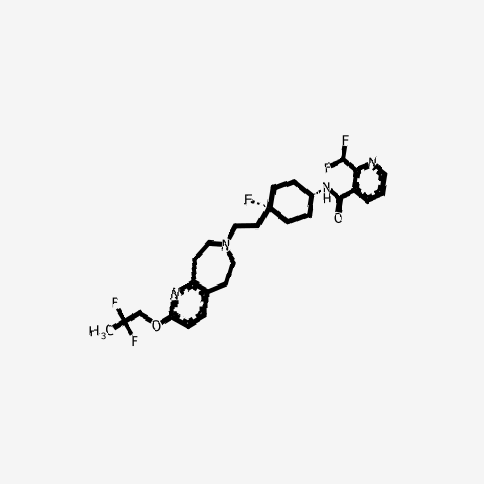 CC(F)(F)COc1ccc2c(n1)CCN(CC[C@]1(F)CC[C@@H](NC(=O)c3cccnc3C(F)F)CC1)CC2